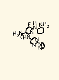 NC(=O)c1cc(F)c(NC2CCCCC2N)nc1Nc1cnc(-n2cccn2)nc1